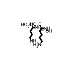 NCCCC[C@H](NO)C(=O)O.NCCC[C@H](N)C(=O)O